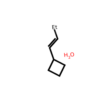 CCC=CC1CCC1.O